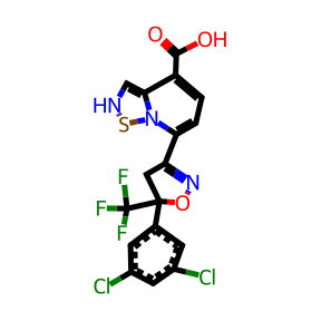 O=C(O)C1=CC=C(C2=NOC(c3cc(Cl)cc(Cl)c3)(C(F)(F)F)C2)N2SNC=C12